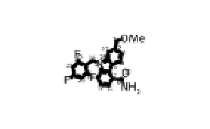 COCc1c[c]c2c3c(C(N)=O)cccc3n(Cc3c(F)cc(F)cc3F)c2c1